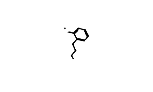 CSc1ccccc1CCC[S]